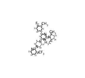 Cc1cc(-c2cc(N3CCN(c4ncccc4C(F)(F)F)CC3)nc(N3C(C)CCC3C)n2)ccc1F